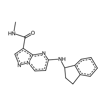 CNC(=O)c1cnn2ccc(NC3CCc4ccccc43)nc12